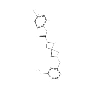 COc1cc(CN2CC3(C2)CN(C(=O)Cc2ccc(Cl)cc2)C3)ccn1